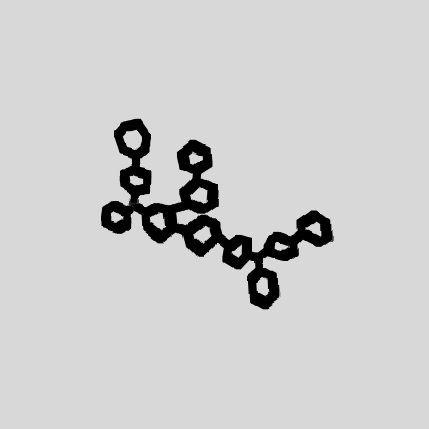 C1=CCCC(c2ccc(N(c3ccccc3)c3ccc(-c4ccc(-c5ccc(N(c6ccccc6)c6ccc(-c7ccccc7)cc6)cc5)cc4)c(-c4cccc(-c5ccccc5)c4)c3)cc2)CC1